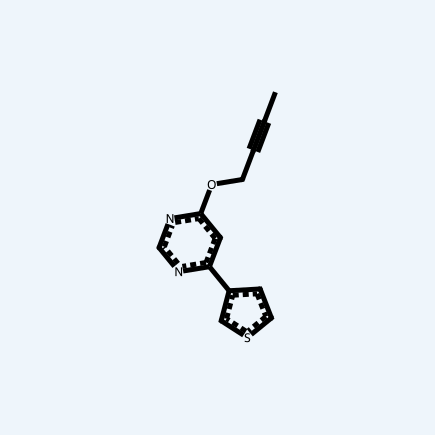 CC#CCOc1cc(-c2ccsc2)ncn1